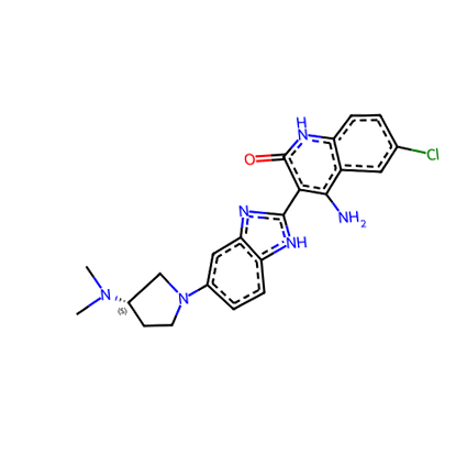 CN(C)[C@H]1CCN(c2ccc3[nH]c(-c4c(N)c5cc(Cl)ccc5[nH]c4=O)nc3c2)C1